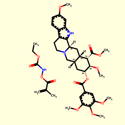 C=C(C)C(=O)ONC(=O)OCC.COC(=O)[C@H]1[C@H]2C[C@@H]3c4[nH]c5cc(OC)ccc5c4CCN3C[C@H]2C[C@@H](OC(=O)c2cc(OC)c(OC)c(OC)c2)[C@@H]1OC